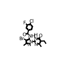 CCc1c(C)nc(-n2nc(C)c(Br)c2NC(=O)c2ccc(Cl)c(F)c2)[nH]c1=O